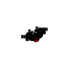 O=S(=O)(O)c1ccc(C(F)(F)F)c(Cc2c(C(F)(F)F)ccc(S(=O)(=O)O)c2C(F)(F)F)c1C(F)(F)F